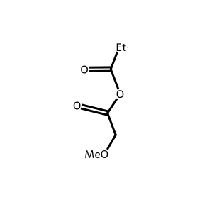 C[CH]C(=O)OC(=O)COC